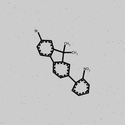 CC1(C)c2cc(Br)ccc2-c2ccc(-c3ccccc3[N+](=O)[O-])cc21